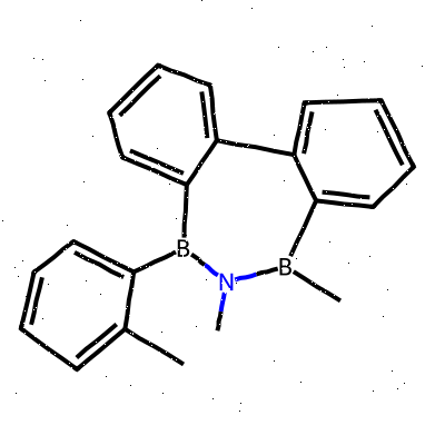 CB1c2ccccc2-c2ccccc2B(c2ccccc2C)N1C